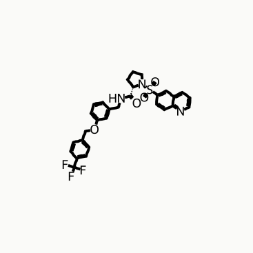 O=C(NCc1cccc(OCc2ccc(C(F)(F)F)cc2)c1)[C@@H]1CCCN1S(=O)(=O)c1ccc2ncccc2c1